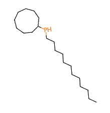 CCCCCCCCCCCCPC1CCCCCCCC1